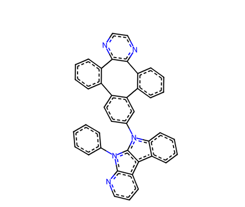 c1ccc(-n2c3ncccc3c3c4ccccc4n(-c4ccc5c(c4)-c4ccccc4-c4nccnc4-c4ccccc4-5)c32)cc1